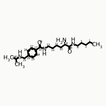 CCCCCNC(=O)[C@H](N)CCCCNC(=O)c1ccc(CNC(C)C)cc1